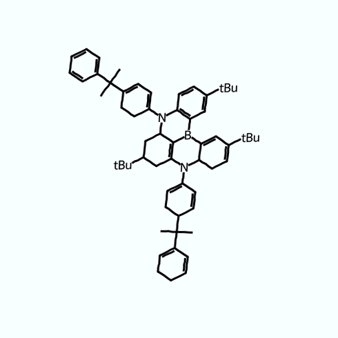 CC(C)(C)C1=CCC2C(=C1)B1C3=C(CC(C(C)(C)C)CC3N(C3=CC=C(C(C)(C)c4ccccc4)CC3)c3ccc(C(C)(C)C)cc31)N2C1=CCC(C(C)(C)C2=CCCC=C2)C=C1